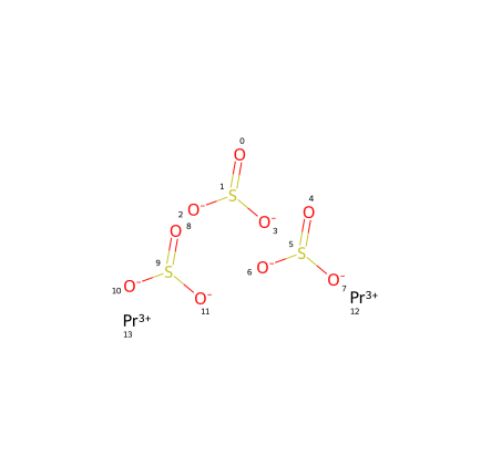 O=S([O-])[O-].O=S([O-])[O-].O=S([O-])[O-].[Pr+3].[Pr+3]